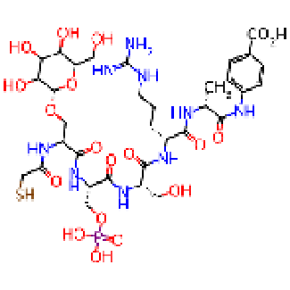 C[C@@H](NC(=O)[C@@H](CCCNC(=N)N)NC(=O)[C@H](CO)NC(=O)[C@H](COP(=O)(O)O)NC(=O)[C@H](CO[C@H]1OC(CO)[C@H](O)C(O)C1O)NC(=O)CS)C(=O)Nc1ccc(C(=O)O)cc1